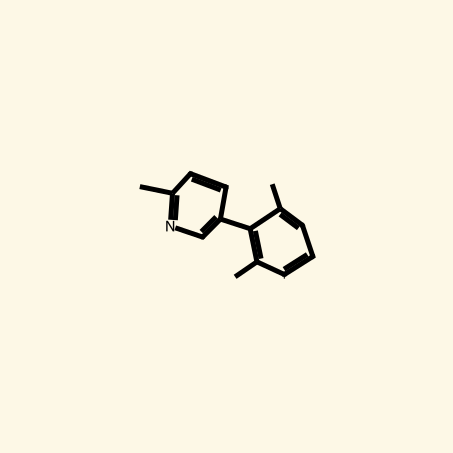 Cc1ccc(-c2c(C)[c]ccc2C)cn1